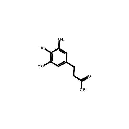 Cc1cc(CCC(=O)OCC(C)C)cc(C(C)(C)C)c1O